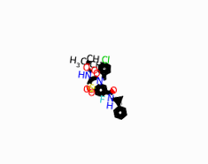 CC(C)(C)OC(=O)N[C@H]1CS(=O)(=O)c2cc(F)c(C(=O)N[C@H]3C[C@@H]3c3ccccc3)cc2N(Cc2ccc(Cl)cc2)C1=O